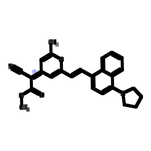 COC(=O)/C(C#N)=C1/C=C(C)OC(C=Cc2ccc(N3CCCC3)c3ccccc23)=C1